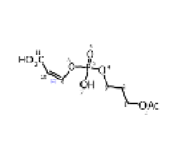 CC(=O)OCCCOP(=O)(O)O/C=C\C(=O)O